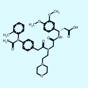 COc1ccc([C@H](CC(=O)O)NC(=O)CN(CCN2CCOCC2)C(=O)Cc2ccc(N(C(N)=O)c3ccccc3C)cc2)cc1OC